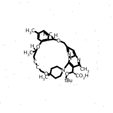 Cc1ccc2c(c1)O[C@@H](C)CCCCOC1(C)CCN(CC1)c1c([C@H](OC(C)(C)C)C(=O)O)c(C)nc3cc(nn13)CO[C@@H]2C